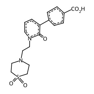 O=C(O)c1ccc(-c2cccn(CCN3CCS(=O)(=O)CC3)c2=O)cc1